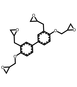 c1cc(OCC2CO2)c(CC2CO2)cc1-c1ccc(OCC2CO2)c(CC2CO2)c1